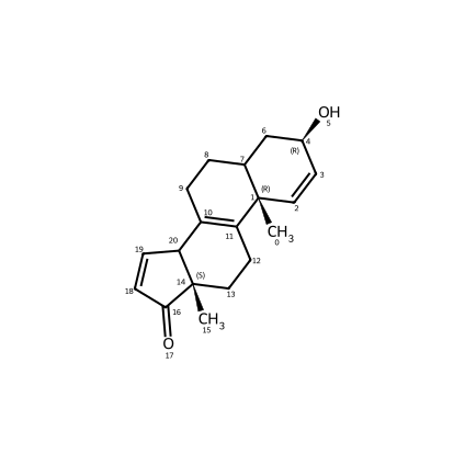 C[C@]12C=C[C@H](O)CC1CCC1=C2CC[C@]2(C)C(=O)C=CC12